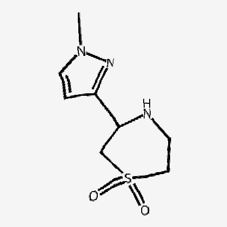 Cn1ccc(C2CS(=O)(=O)CCN2)n1